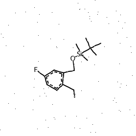 CCc1ccc(F)cc1CO[Si](C)(C)C(C)(C)C